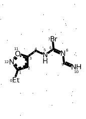 CCc1cc(CN/C(Br)=N\C=N)on1